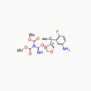 C#C[C@@](C)(c1cc(N)ccc1F)[C@H]1COC[C@H]1OC(=N)N(C(=O)OC(C)(C)C)C(=O)OC(C)(C)C